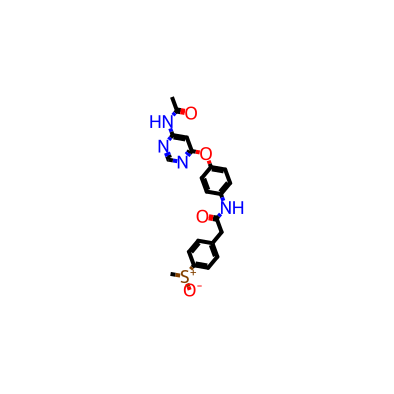 CC(=O)Nc1cc(Oc2ccc(NC(=O)Cc3ccc([S+](C)[O-])cc3)cc2)ncn1